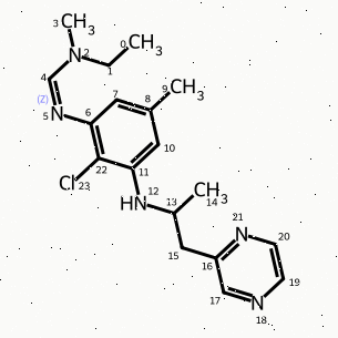 CCN(C)/C=N\c1cc(C)cc(NC(C)Cc2cnccn2)c1Cl